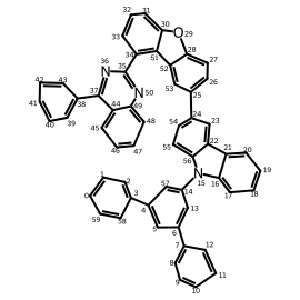 c1ccc(-c2cc(-c3ccccc3)cc(-n3c4ccccc4c4cc(-c5ccc6oc7cccc(-c8nc(-c9ccccc9)c9ccccc9n8)c7c6c5)ccc43)c2)cc1